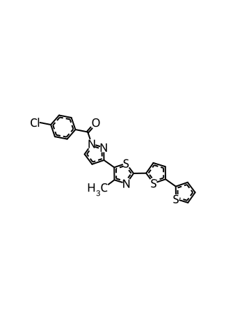 Cc1nc(-c2ccc(-c3cccs3)s2)sc1-c1ccn(C(=O)c2ccc(Cl)cc2)n1